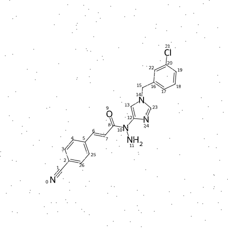 N#Cc1ccc(/C=C/C(=O)N(N)c2cn(Cc3cccc(Cl)c3)cn2)cc1